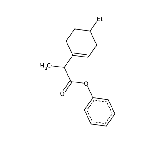 CCC1CC=C(C(C)C(=O)Oc2ccccc2)CC1